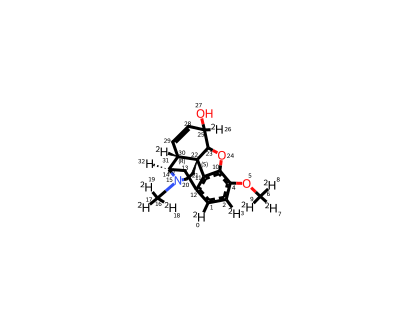 [2H]c1c([2H])c(OC([2H])([2H])[2H])c2c3c1C[C@H]1N(C([2H])([2H])[2H])CC[C@@]34C(O2)C([2H])(O)C=C[C@@]14[2H]